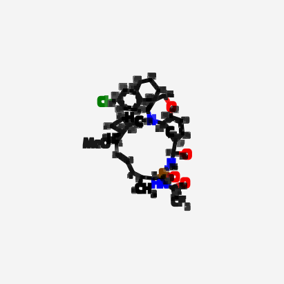 CO[C@H]1/C=C/C[C@H](C)C[S@@](=O)(NC(=O)C(F)(F)F)=NC(=O)c2ccc3c(c2)N(C[C@@H]2CC[C@H]21)C[C@@]1(CCCc2cc(Cl)ccc21)CO3